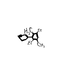 CCc1[c]c(C)c(CC)c(-c2ccccc2)c1C